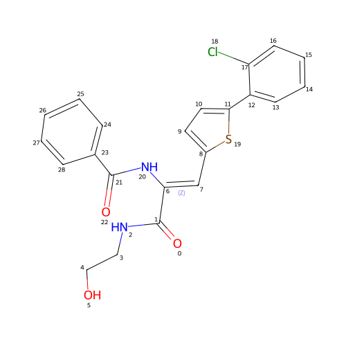 O=C(NCCO)/C(=C/c1ccc(-c2ccccc2Cl)s1)NC(=O)c1ccccc1